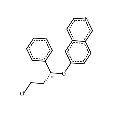 ClCC[C@@H](Oc1ccc2cnccc2c1)c1ccccc1